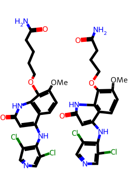 COc1ccc2c(Nc3c(Cl)cncc3Cl)cc(=O)[nH]c2c1OCCCC(N)=O.COc1ccc2c(Nc3c(Cl)cncc3Cl)cc(=O)[nH]c2c1OCCCCC(N)=O